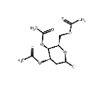 CC(=O)OC[C@H]1OC(Cl)C[C@@H](OC(C)=O)[C@H]1OC(C)=O